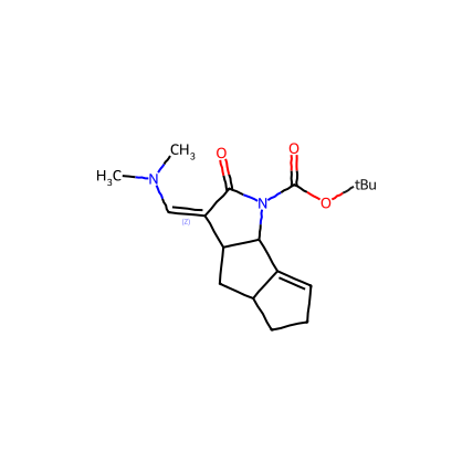 CN(C)/C=C1\C(=O)N(C(=O)OC(C)(C)C)C2C3=CCCC3CC12